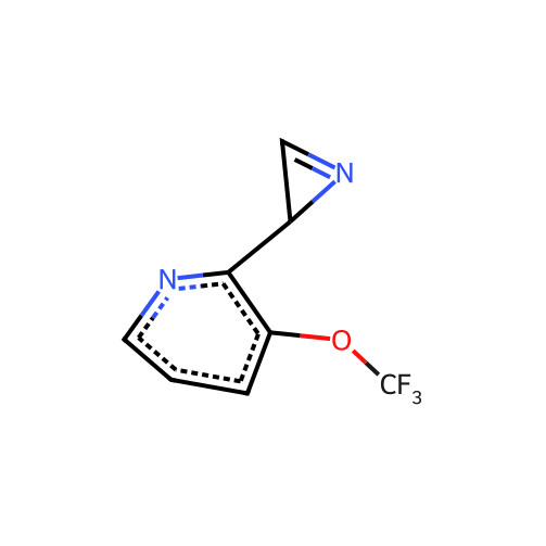 FC(F)(F)Oc1cccnc1C1C=N1